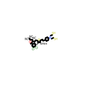 [C-]#[N+]C1=C(/C=C/c2sc(/C=C/c3ccc(N(CCS)CCS)cc3)c(CCCCCC)c2CCCCCC)C(C)(c2ccc(Cl)c(Cl)c2)O/C1=C(\C#N)[N+]#[C-]